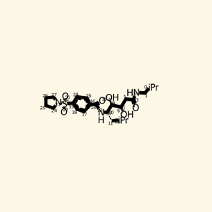 CC(C)CNC(=O)C[C@@H](O)[C@H](O)[C@H](CC(C)C)NC(=O)c1ccc(S(=O)(=O)N2CCCC2)cc1